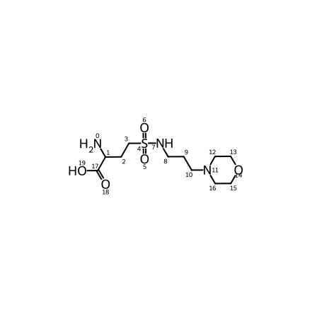 NC(CCS(=O)(=O)NCCCN1CCOCC1)C(=O)O